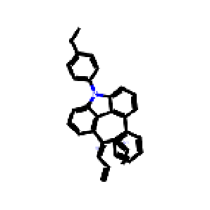 C=C/C=C(\C=C/C)c1cccc2c1c1c(-c3ccccc3)cccc1n2-c1ccc(CC)cc1